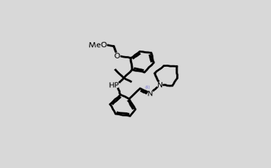 COCOc1ccccc1C(C)(C)Pc1ccccc1/C=N/N1CCCCC1